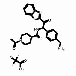 CC(=O)N1CCC(C(=O)NC(C(=O)c2nc3ccccc3s2)c2ccc(CN)cc2)CC1.O=C(O)C(F)(F)F